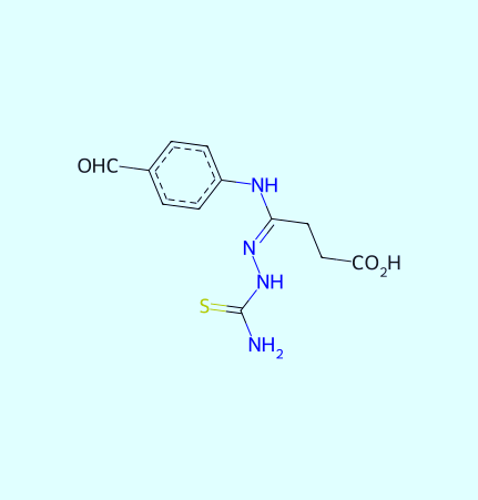 NC(=S)NN=C(CCC(=O)O)Nc1ccc(C=O)cc1